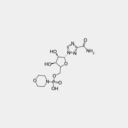 NC(=O)c1ncn([C@@H]2OC(COP(=O)(O)N3CCOCC3)[C@@H](O)[C@H]2O)n1